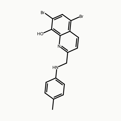 Cc1ccc(NCc2ccc3c(Br)cc(Br)c(O)c3n2)cc1